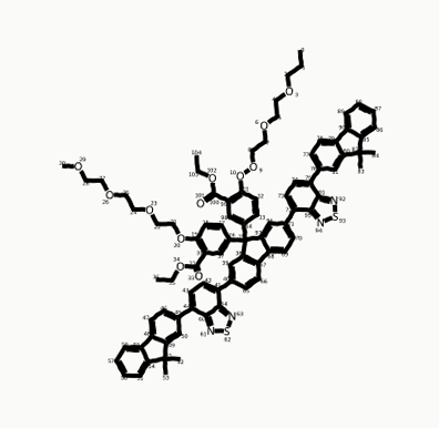 CCCOCCOCCOOc1ccc(C2(c3ccc(OCCOCCOCCOC)c(C(=O)OCC)c3)c3cc(-c4ccc(-c5ccc6c(c5)C(C)(C)c5ccccc5-6)c5nsnc45)ccc3-c3ccc(-c4ccc(-c5ccc6c(c5)C(C)(C)c5ccccc5-6)c5nsnc45)cc32)cc1C(=O)OCC